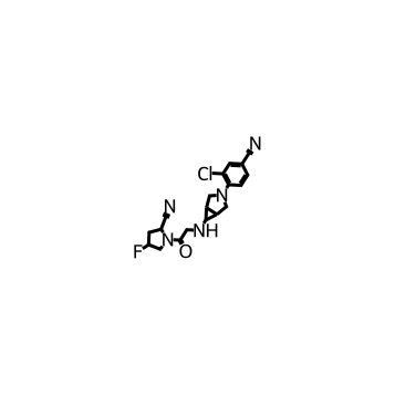 N#Cc1ccc(N2CC3C(C2)C3NCC(=O)N2CC(F)CC2C#N)c(Cl)c1